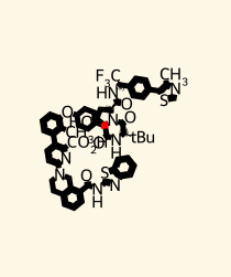 Cc1ncsc1-c1ccc([C@H](NC(=O)[C@@H]2C[C@@H](O)CN2C(=O)[C@@H](NC(=O)CC2CCC(Oc3cccc(-c4ccc(N5CCc6cccc(C(=O)Nc7nc8ccccc8s7)c6C5)nc4C(=O)O)c3C)CC2)C(C)(C)C)C(F)(F)F)cc1